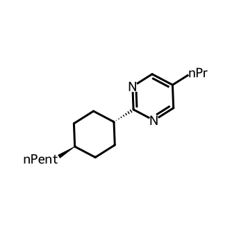 CCCCC[C@H]1CC[C@H](c2ncc(CCC)cn2)CC1